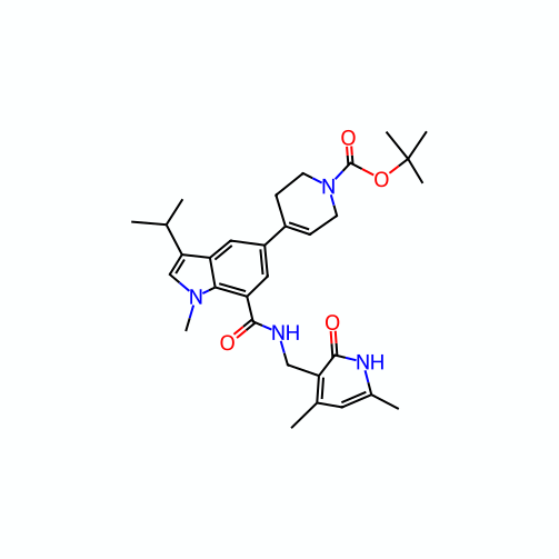 Cc1cc(C)c(CNC(=O)c2cc(C3=CCN(C(=O)OC(C)(C)C)CC3)cc3c(C(C)C)cn(C)c23)c(=O)[nH]1